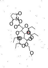 CCC(=O)OC(C(=O)OCCOC)C(OC(=O)CC)C(OC(=O)CC)C(OC(=O)CC)C(=O)ON1C(=O)CCC1=O